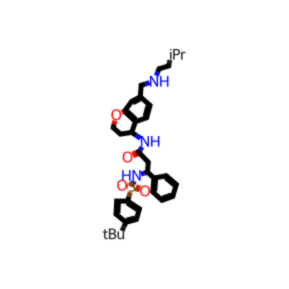 CC(C)CCNCc1ccc2c(c1)OCCC2NC(=O)CC(NS(=O)(=O)c1ccc(C(C)(C)C)cc1)c1ccccc1